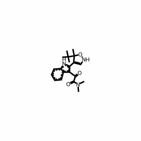 CN(C)C(=O)C(=O)c1c(C2=CNOC2(C)C(C)(C)C)[nH]c2ccccc12